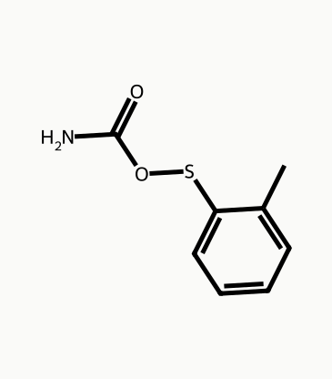 Cc1ccccc1SOC(N)=O